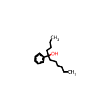 CCCCCCC(O)(CCCC)c1ccccc1